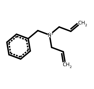 C=CC[N+](CC=C)Cc1ccccc1